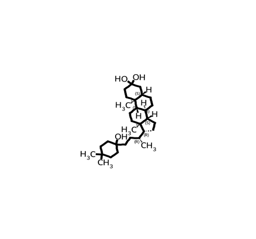 C[C@H](CCC1(O)CCC(C)(C)CC1)[C@H]1CC[C@H]2[C@@H]3CC[C@H]4CC(O)(O)CC[C@]4(C)[C@H]3CC[C@]12C